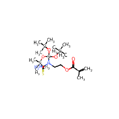 C=C(C)C(=O)OCCN(C(N)=S)[Si](O[Si](C)(C)C)(O[Si](C)(C)C)O[Si](C)(C)C